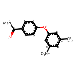 CNC(=O)c1ccc(Oc2cc([N+](=O)[O-])cc(C(F)(F)F)c2)cc1